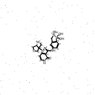 CC(C)(C)N1Cc2cc(Nc3nn(C4(CC#N)CCOC4)c4cc[nH]c(=O)c34)ccc2S1(O)O